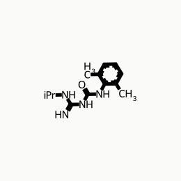 Cc1cccc(C)c1NC(=O)NC(=N)NC(C)C